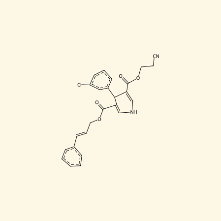 N#CCCOC(=O)C1=CNC=C(C(=O)OC/C=C/c2ccccc2)C1c1cccc(Cl)c1